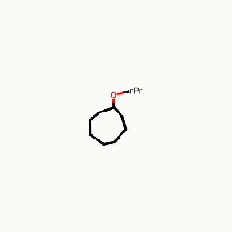 C[CH]COC1CCCCCCC1